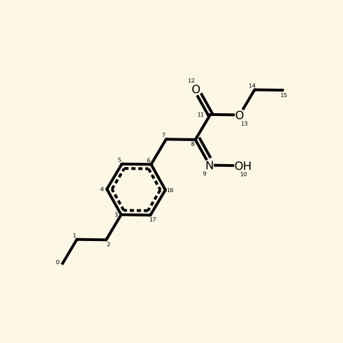 CCCc1ccc(CC(=NO)C(=O)OCC)cc1